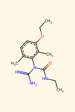 CCNC(=O)N(C(=N)N)c1c(C)ccc(OCC)c1C